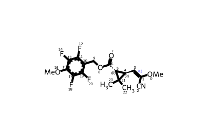 CO/C(C#N)=C/[C@@H]1[C@@H](C(=O)OCc2c(F)c(F)c(OC)c(F)c2F)C1(C)C